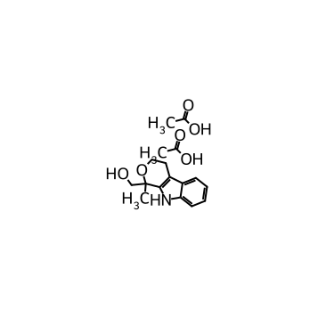 CC(=O)O.CC(=O)O.CC1(CO)OCCc2c1[nH]c1ccccc21